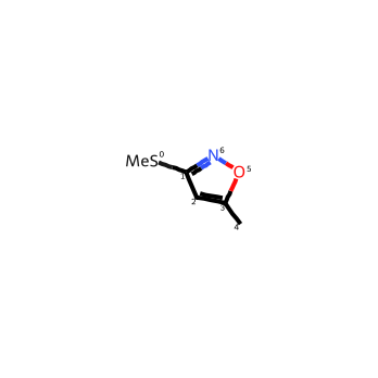 [CH2]Sc1cc(C)on1